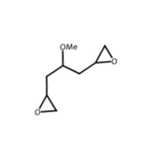 COC(CC1CO1)CC1CO1